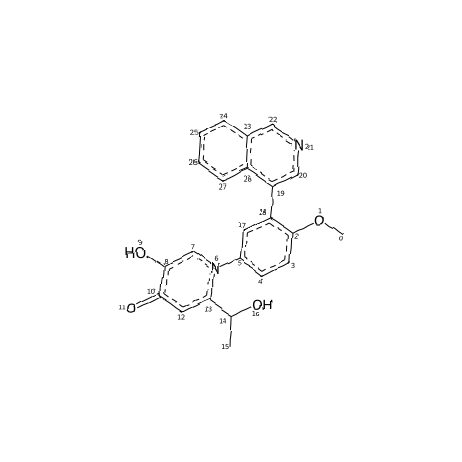 COc1ccc(-n2cc(O)c(=O)cc2C(C)O)cc1-c1cncc2ccccc12